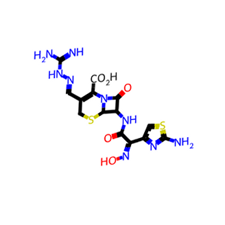 N=C(N)NN=CC1=C(C(=O)O)N2C(=O)C(NC(=O)/C(=N\O)c3csc(N)n3)C2SC1